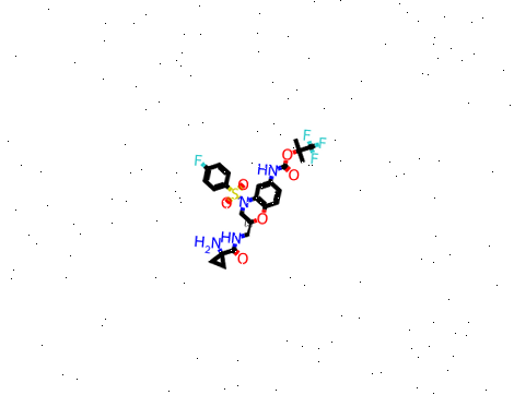 CC(C)(OC(=O)Nc1ccc2c(c1)N(S(=O)(=O)c1ccc(F)cc1)C[C@H](CNC(=O)C1(N)CC1)O2)C(F)(F)F